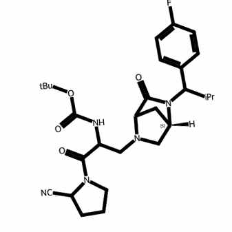 CC(C)C(c1ccc(F)cc1)N1C(=O)C2C[C@H]1CN2CC(NC(=O)OC(C)(C)C)C(=O)N1CCCC1C#N